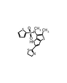 Cc1sc2cc(C3=NCCS3)[nH]c2c1N(C)S(=O)(=O)c1cccs1